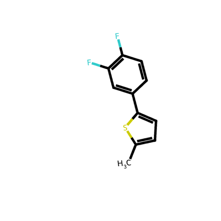 Cc1ccc(-c2ccc(F)c(F)c2)s1